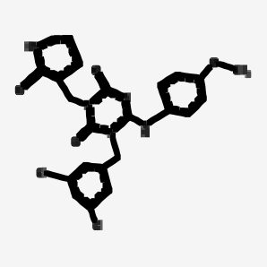 COc1ccc(Nc2nc(=O)n(Cc3ccc[nH]c3=O)c(=O)n2Cc2cc(Cl)cc(Cl)c2)cc1